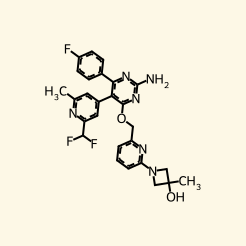 Cc1cc(-c2c(OCc3cccc(N4CC(C)(O)C4)n3)nc(N)nc2-c2ccc(F)cc2)cc(C(F)F)n1